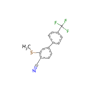 CSc1cc(-c2ccc(C(F)(F)F)cc2)ccc1C#N